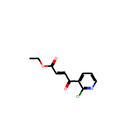 CCOC(=O)C=CC(=O)c1cccnc1Cl